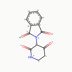 O=C1CCNC(=O)C1N1C(=O)c2ccccc2C1=O